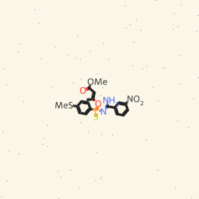 COC(=O)C=C(C)OP(=S)(N=C(N)c1cccc([N+](=O)[O-])c1)c1ccc(SC)cc1